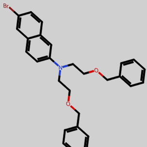 Brc1ccc2cc(N(CCOCc3ccccc3)CCOCc3ccccc3)ccc2c1